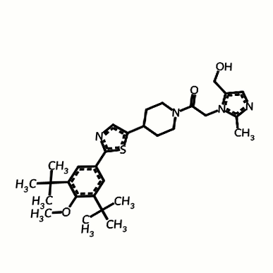 COc1c(C(C)(C)C)cc(-c2ncc(C3CCN(C(=O)Cn4c(CO)cnc4C)CC3)s2)cc1C(C)(C)C